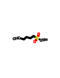 COS(=O)(=O)CCCC[C]=O